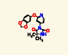 CC1(C)NC(=O)N(c2ccnc(Oc3ccc4c(c3)OCO4)c2)C1=O